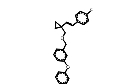 Fc1ccc(C=CC2(COCc3cccc(Oc4ccccc4)c3)CC2)cc1